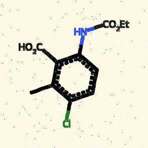 CCOC(=O)Nc1ccc(Cl)c(C)c1C(=O)O